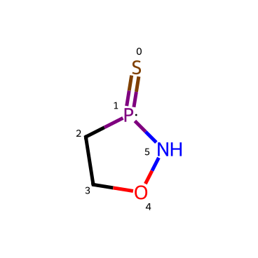 S=[P]1CCON1